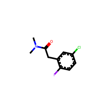 CN(C)C(=O)Cc1cc(Cl)ccc1I